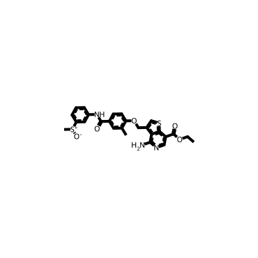 CCOC(=O)c1cnc(N)c2c(COc3ccc(C(=O)Nc4cccc([S+](C)[O-])c4)cc3C)csc12